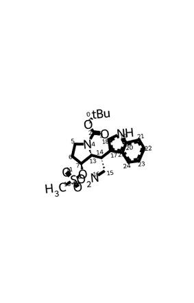 CC(C)(C)OC(=O)N1CC[C@H](OS(C)(=O)=O)[C@H]1[C@@H](C[N+](=O)[O-])c1c[nH]c2ccccc12